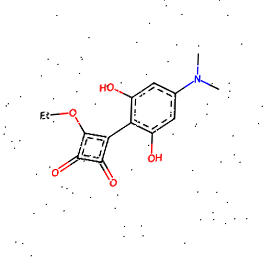 CCOc1c(-c2c(O)cc(N(C)C)cc2O)c(=O)c1=O